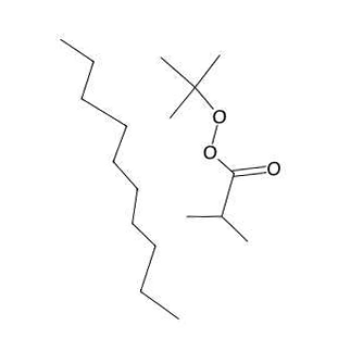 CC(C)C(=O)OOC(C)(C)C.CCCCCCCCCC